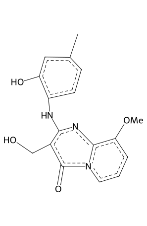 COc1cccn2c(=O)c(CO)c(Nc3ccc(C)cc3O)nc12